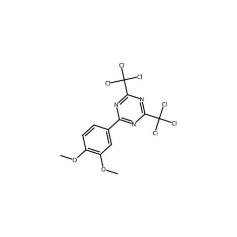 COc1ccc(-c2nc(C(Cl)(Cl)Cl)nc(C(Cl)(Cl)Cl)n2)cc1OC